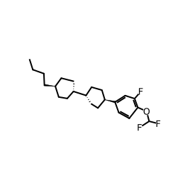 CCCC[C@H]1CC[C@H]([C@H]2CC[C@H](c3ccc(OC(F)F)c(F)c3)CC2)CC1